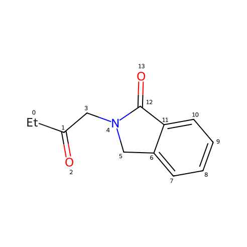 CCC(=O)CN1Cc2ccccc2C1=O